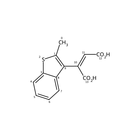 Cc1sc2ccccc2c1C(=CC(=O)O)C(=O)O